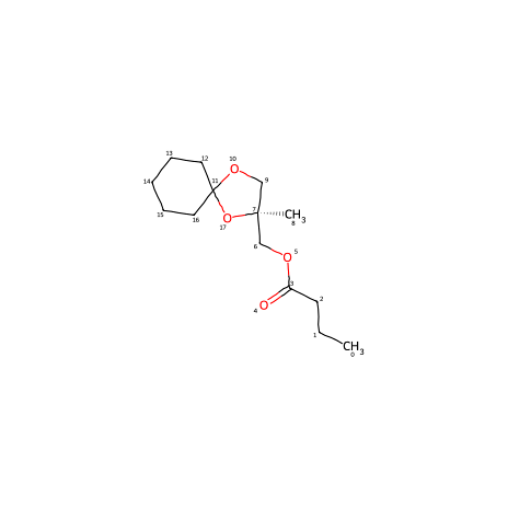 CCCC(=O)OC[C@]1(C)COC2(CCCCC2)O1